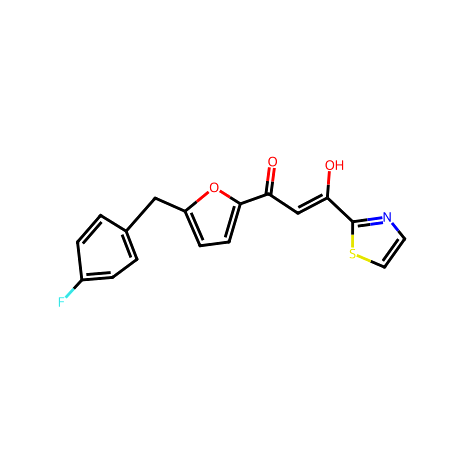 O=C(C=C(O)c1nccs1)c1ccc(Cc2ccc(F)cc2)o1